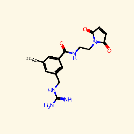 N=C(N)NCc1cc([211At])cc(C(=O)NCCN2C(=O)C=CC2=O)c1